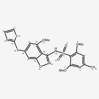 COc1cc(C)nc(OC)c1S(=O)(=O)Nc1noc2cc(Sc3nccs3)cc(OC)c12